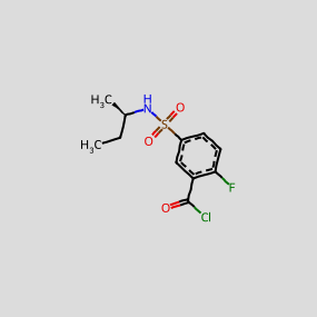 CC[C@@H](C)NS(=O)(=O)c1ccc(F)c(C(=O)Cl)c1